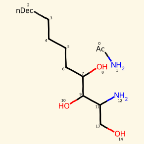 CC(N)=O.CCCCCCCCCCCCCCC(O)C(O)C(N)CO